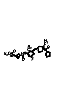 CC(=O)N[C@H]1C[C@H](C(=O)Nc2cc(F)cc(CN3CCN(C(=O)C4CCCC4)[C@@H](C)C3)c2C)C1